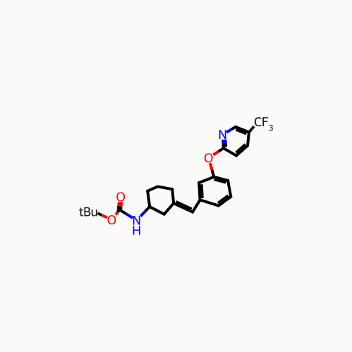 CC(C)(C)OC(=O)NC1CCC/C(=C\c2cccc(Oc3ccc(C(F)(F)F)cn3)c2)C1